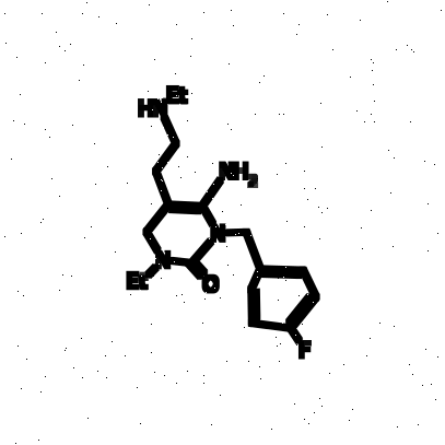 CCNCCC1=C(N)N(Cc2ccc(F)cc2)C(=O)N(CC)C1